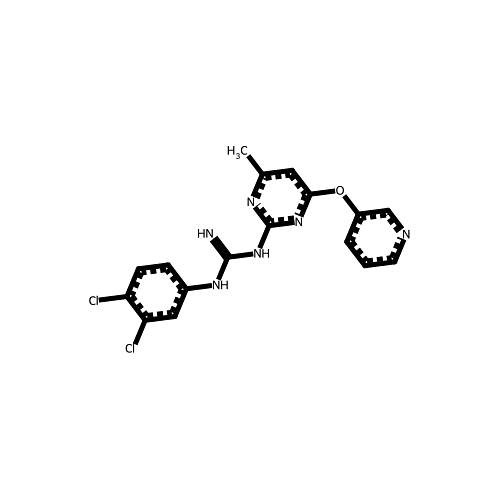 Cc1cc(Oc2cccnc2)nc(NC(=N)Nc2ccc(Cl)c(Cl)c2)n1